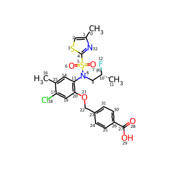 Cc1csc(S(=O)(=O)N(C[C@@H](C)F)c2cc(C)c(Cl)cc2OCc2ccc(C(=O)O)cc2)n1